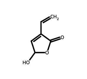 C=CC1=CC(O)OC1=O